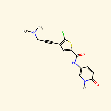 CCn1cc(NC(=O)c2cc(C#CCN(C)C)c(Cl)s2)ccc1=O